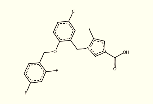 Cc1cc(C(=O)O)cn1Cc1cc(Cl)ccc1OCc1ccc(F)cc1F